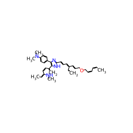 C=CC(/C=C/COC/C=C\C=C/C)=C\C=C\c1nc(-c2ccc(N(C)C)cc2)c(C(=C)/C=C\C(=C/C)NC)[nH]1